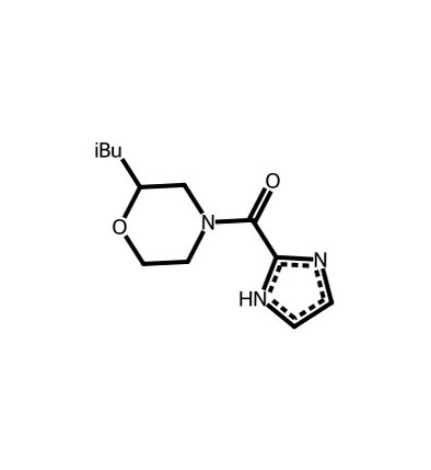 CCC(C)C1CN(C(=O)c2ncc[nH]2)CCO1